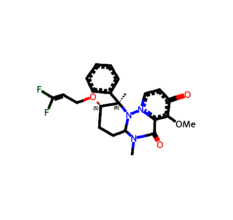 COc1c2n(ccc1=O)N1C(CC[C@H](OCC=C(F)F)[C@@]1(C)c1ccccc1)N(C)C2=O